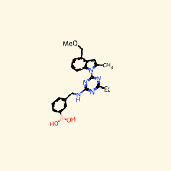 CCc1nc(NCc2cccc(B(O)O)c2)nc(-n2c(C)cc3c(COC)cccc32)n1